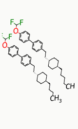 CCCCC[C@H]1CC[C@H](CCc2ccc(-c3ccc(OC(F)F)cc3)cc2)CC1.CCCC[C@H]1CC[C@H](CCc2ccc(-c3ccc(OC(F)F)cc3)cc2)CC1